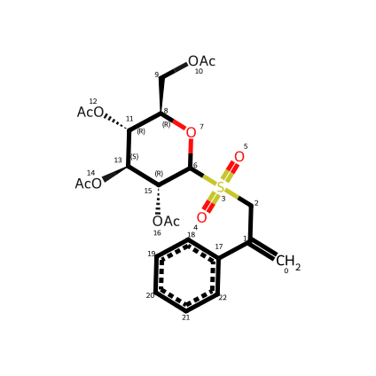 C=C(CS(=O)(=O)C1O[C@H](COC(C)=O)[C@@H](OC(C)=O)[C@H](OC(C)=O)[C@H]1OC(C)=O)c1ccccc1